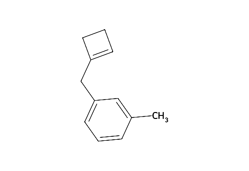 Cc1cccc(CC2=CCC2)c1